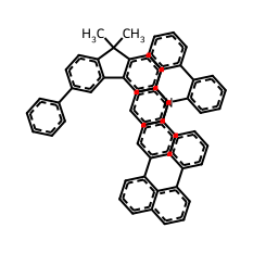 CC1(C)c2ccc(-c3ccccc3)cc2-c2cc(N(c3ccc(-c4cccc5cccc(-c6ccccc6)c45)cc3)c3ccccc3-c3ccccc3-c3ccccc3)ccc21